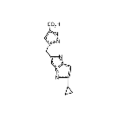 O=C(O)c1cn(Cc2cn3nc(C4CC4)ccc3n2)nn1